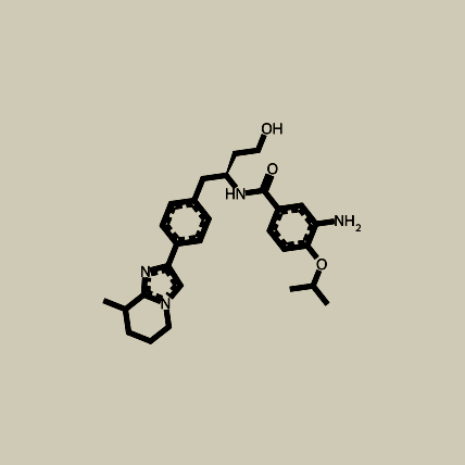 CC(C)Oc1ccc(C(=O)N[C@H](CCO)Cc2ccc(-c3cn4c(n3)C(C)CCC4)cc2)cc1N